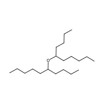 CCCCCC(CCCC)OC(CCCC)CCCCC